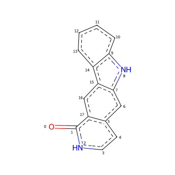 O=c1[nH]ccc2cc3[nH]c4ccccc4c3cc12